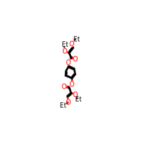 CCOC=C(OCC)C(=O)Oc1ccc(OC(=O)C(=COCC)OCC)cc1